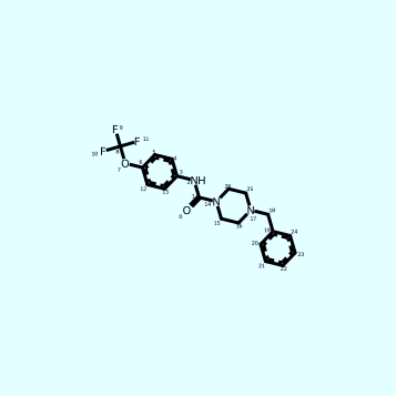 O=C(Nc1ccc(OC(F)(F)F)cc1)N1CCN(Cc2ccccc2)CC1